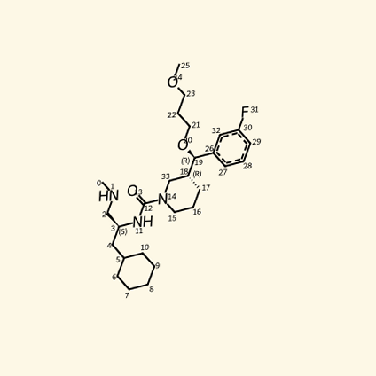 CNC[C@H](CC1CCCCC1)NC(=O)N1CCC[C@@H]([C@@H](OCCCOC)c2cccc(F)c2)C1